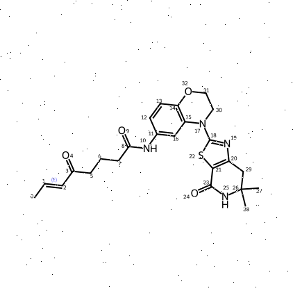 C/C=C/C(=O)CCCC(=O)Nc1ccc2c(c1)N(c1nc3c(s1)C(=O)NC(C)(C)C3)CCO2